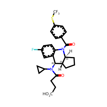 O=C(O)CCC(=O)N(C1CC1)[C@H]1c2cc(F)ccc2N(C(=O)c2ccc(SC(F)(F)F)cc2)[C@H]2CCC[C@@H]21